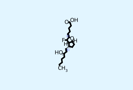 CCCCC[C@H](O)/C=C/[C@H]1CC[C@H]2O/C(=C\CCCC(=O)O)C(F)[C@H]12